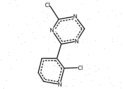 Clc1ncnc(-c2cccnc2Cl)n1